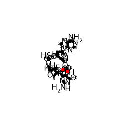 Nc1nc2c(ncn2[C@@]23CO[C@H](COP(=O)(S)O[C@@H]4C[C@H](n5cnc6c(N)ncnc65)O[C@@H]4COP(=O)(S)O2)[C@H]3F)c(=O)[nH]1